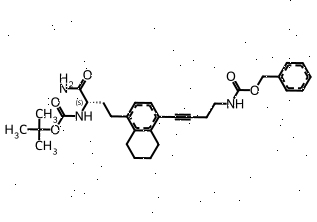 CC(C)(C)OC(=O)N[C@@H](CCc1ccc(C#CCCNC(=O)OCc2ccccc2)c2c1CCCC2)C(N)=O